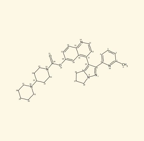 Cc1cccc(-c2nn3c(c2-c2ccnc4ccc(OC(=O)N5CCC(N6CCCCC6)CC5)cc24)CCC3)n1